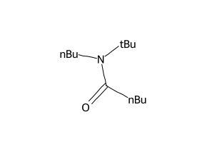 [CH2]CCCC(=O)N(CCCC)C(C)(C)C